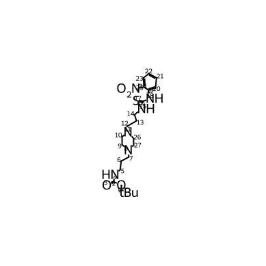 CC(C)(C)OC(=O)NCCCN1CCN(CCCNC(=S)Nc2ccccc2[N+](=O)[O-])CC1